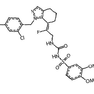 COc1ccc(S(=O)(=O)NC(=O)NC/C(F)=C2\CCCc3cnn(Cc4ccc(Cl)cc4Cl)c32)cc1OC